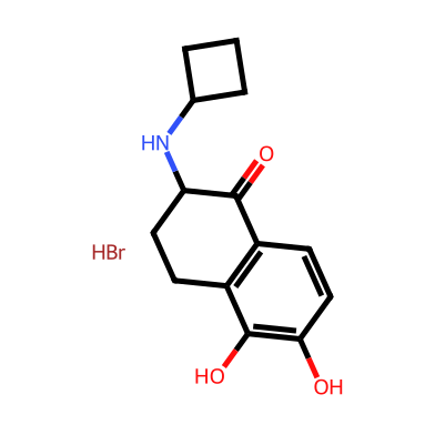 Br.O=C1c2ccc(O)c(O)c2CCC1NC1CCC1